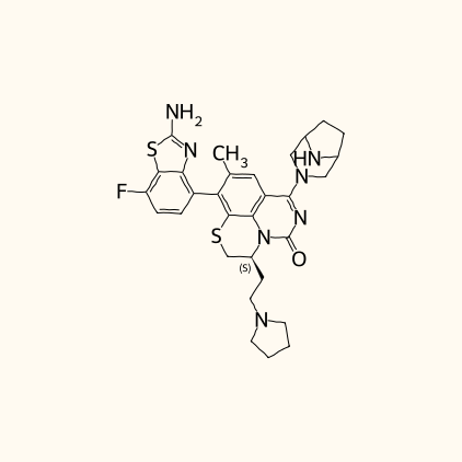 Cc1cc2c(N3CC4CCC(C3)N4)nc(=O)n3c2c(c1-c1ccc(F)c2sc(N)nc12)SC[C@@H]3CCN1CCCC1